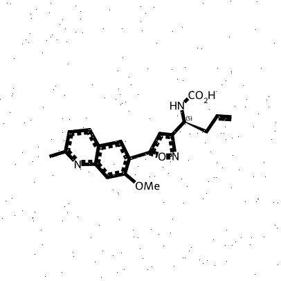 C=CC[C@H](NC(=O)O)c1cc(-c2cc3ccc(C)nc3cc2OC)on1